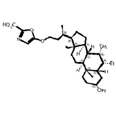 CC[C@H]1[C@@H](O)[C@@H]2[C@H](CC[C@]3(C)[C@@H]([C@H](C)CCOc4cnc(C(=O)O)o4)CC[C@@H]23)[C@@]2(C)CC[C@@H](O)C[C@@H]12